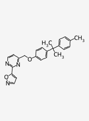 Cc1ccc(C(C)(C)c2ccc(OCc3ccnc(-c4ccno4)n3)cc2)cc1